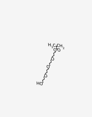 C=C(C)C(=O)OCCCCOCCCCOCCCCOCCCCO